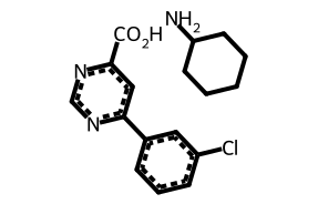 NC1CCCCC1.O=C(O)c1cc(-c2cccc(Cl)c2)ncn1